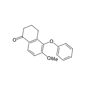 COc1ccc2c(c1Oc1ccccc1)CCCC2=O